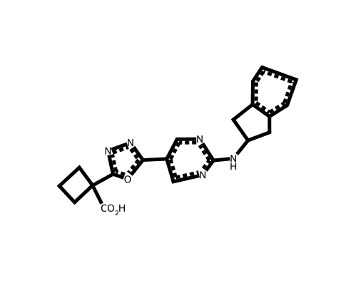 O=C(O)C1(c2nnc(-c3cnc(NC4Cc5ccccc5C4)nc3)o2)CCC1